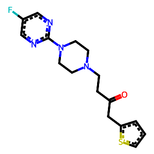 O=C(CCN1CCN(c2ncc(F)cn2)CC1)Cc1cccs1